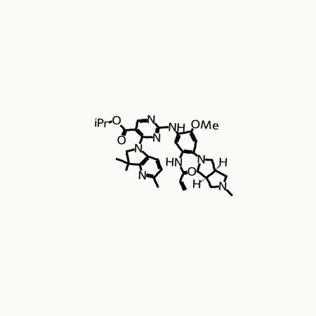 C=CC(=O)Nc1cc(Nc2ncc(C(=O)OC(C)C)c(N3CC(C)(C)c4nc(C)ccc43)n2)c(OC)cc1N1C[C@H]2CN(C)C[C@H]2C1